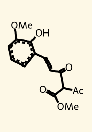 COC(=O)C(C(C)=O)C(=O)/C=C/c1cccc(OC)c1O